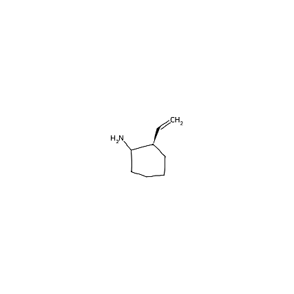 C=C[C@H]1CCCCC1N